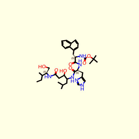 CCC(C)[C@@H](CO)NC(=O)CC(O)C(CC(C)C)NC(=O)[C@H](Cc1c[nH]cn1)NC(=O)[C@H](Cc1cccc2ccccc12)NC(=O)OC(C)(C)C